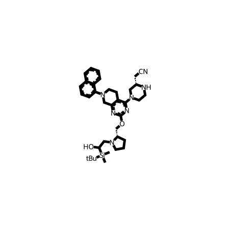 CC(C)(C)[Si](C)(C)C(O)CN1CCC[C@H]1COc1nc2c(c(N3CCN[C@@H](CC#N)C3)n1)CCN(c1cccc3ccccc13)C2